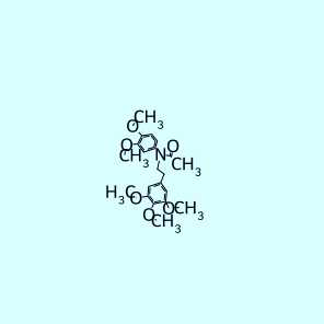 COc1ccc(N(CCc2cc(OC)c(OC)c(OC)c2)C(C)=O)cc1OC